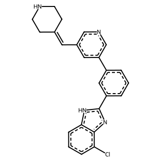 Clc1cccc2[nH]c(-c3cccc(-c4cncc(C=C5CCNCC5)c4)c3)nc12